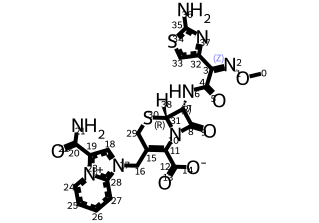 CO/N=C(\C(=O)N[C@@H]1C(=O)N2C(C(=O)[O-])=C(Cn3cc(C(N)=O)[n+]4ccccc34)CS[C@H]12)c1csc(N)n1